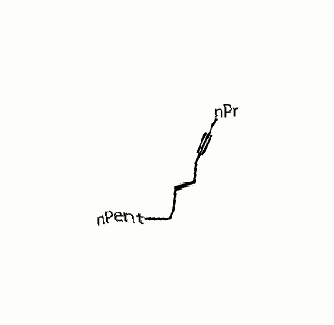 CCCC#CCCCCCCCC